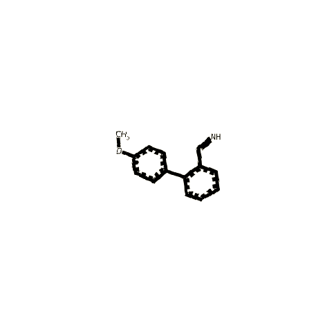 COc1ccc(-c2ccccc2C=N)cc1